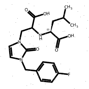 CC(C)C[C@H](NC(Cn1ccn(Cc2ccc(F)cc2)c1=O)C(=O)O)C(=O)O